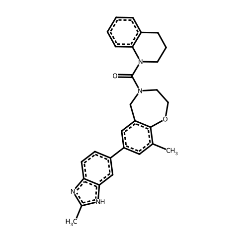 Cc1nc2ccc(-c3cc(C)c4c(c3)CN(C(=O)N3CCCc5ccccc53)CCO4)cc2[nH]1